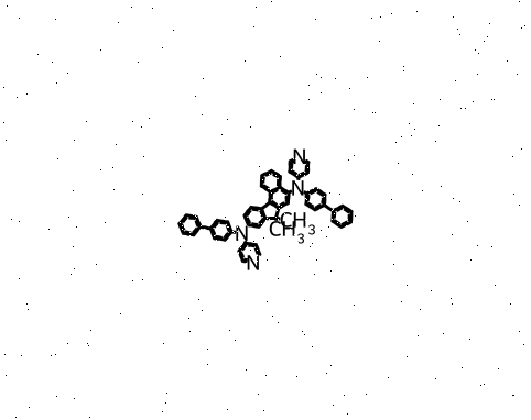 CC1(C)c2cc(N(c3ccncc3)c3ccc(-c4ccccc4)cc3)ccc2-c2c1cc(N(c1ccncc1)c1ccc(-c3ccccc3)cc1)c1ccccc21